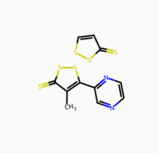 Cc1c(-c2cnccn2)ssc1=S.S=c1ccss1